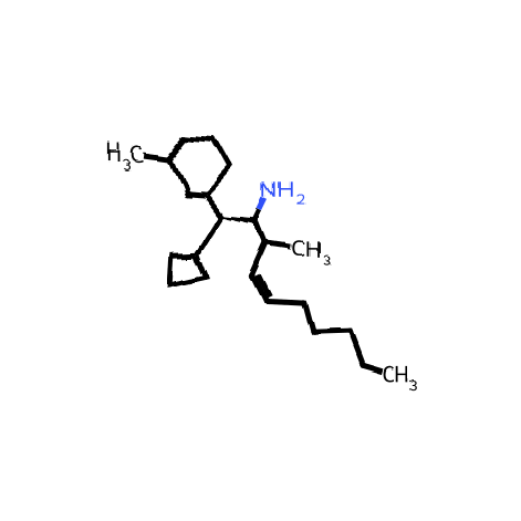 CCCCC/C=C\C(C)C(N)[C@@H](C1CCC1)C1CCCC(C)C1